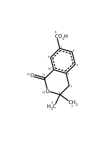 CC1(C)Cc2ccc(C(=O)O)cc2C(=O)O1